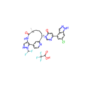 C[C@@H]1CCC[C@H](n2cnc(-c3cc(Cl)cc4[nH]ncc34)cc2=O)c2cc(ccn2)-c2c(cnn2C(F)F)NC1=O.O=C(O)C(F)(F)F